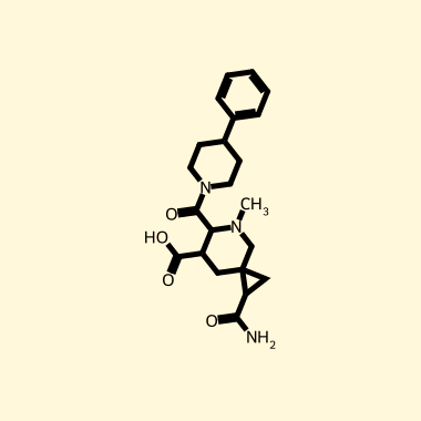 CN1CC2(CC(C(=O)O)C1C(=O)N1CCC(c3ccccc3)CC1)CC2C(N)=O